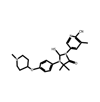 Cc1cc(N2C(=O)C(C)(C)N(c3ccc(OC4CCN(C)CC4)cc3)C2S)cnc1C#N